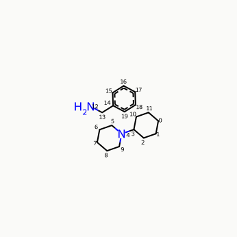 C1CCC(N2CCCCC2)CC1.NCc1ccccc1